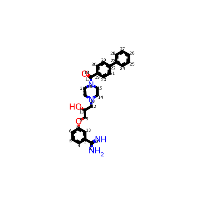 N=C(N)c1cccc(OCC(O)CN2CCN(C(=O)c3ccc(-c4ccccc4)cc3)CC2)c1